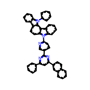 c1ccc(-c2cc(-c3ccc4ccccc4c3)nc(-c3ccc(-n4c5ccccc5c5c4ccc4c6ccccc6n(-c6ccccc6)c45)nc3)n2)cc1